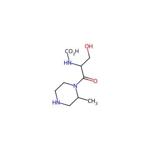 CC1CNCCN1C(=O)C(CO)NC(=O)O